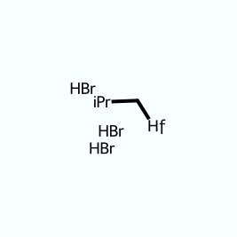 Br.Br.Br.CC(C)[CH2][Hf]